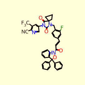 N#Cc1ncc(N2C(=O)N(Cc3ccc(/C=C/C(=O)NOC(c4ccccc4)(c4ccccc4)c4ccccc4)cc3F)C3(CCC3)C2=O)cc1C(F)(F)F